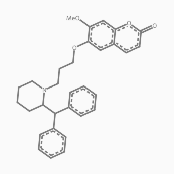 COc1cc2oc(=O)ccc2cc1OCCCN1CCCCC1C(c1ccccc1)c1ccccc1